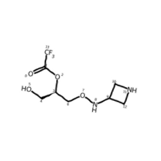 O=C(O[C@H](CO)CONC1CNC1)C(F)(F)F